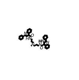 CN(CCCNC(=O)c1cc(-c2ccccc2)nc2ccccc12)CCCNC(=O)c1c2ccccc2nc2c1[nH]c1ccccc12